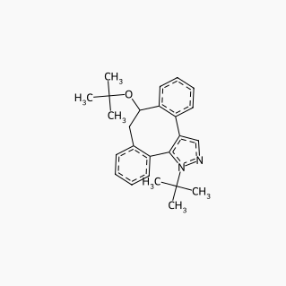 CC(C)(C)OC1Cc2ccccc2-c2c(cnn2C(C)(C)C)-c2ccccc21